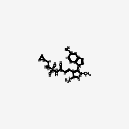 Cc1nn(C)c(-n2ccc3cc(C#N)ccc32)c1/C=C/C(=O)NS(=O)(=O)NCC1CC1